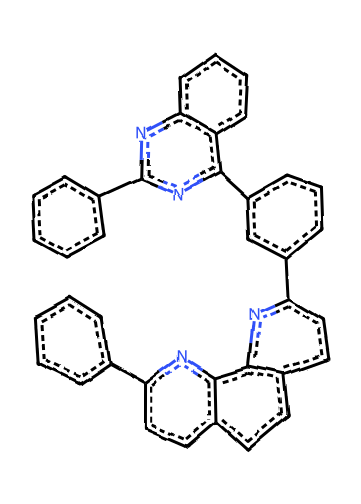 c1ccc(-c2ccc3ccc4ccc(-c5cccc(-c6nc(-c7ccccc7)nc7ccccc67)c5)nc4c3n2)cc1